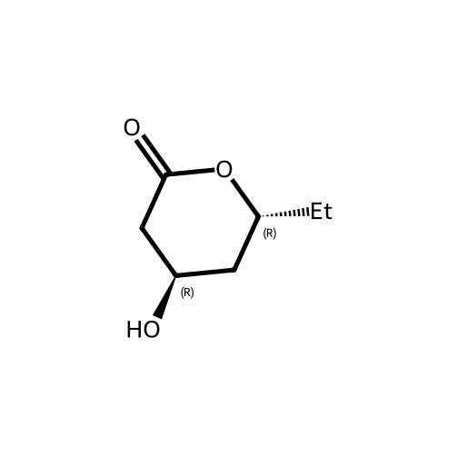 CC[C@@H]1C[C@@H](O)CC(=O)O1